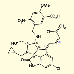 C=C(Cl)/C=C\C=C(/F)[C@@H]1[C@@H](NCc2cc(C(=O)O)c(OC)cc2[N+](=O)[O-])[C@@H](CO)N(CC2CC2)[C@]12C(=O)Nc1cc(Cl)ccc12